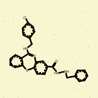 O=C(NNCc1ccccc1)c1ccc2c(c1)N=C(NCc1ccc(Cl)cc1)c1ccccc1S2